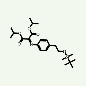 CC(C)OC(=O)C(=Nc1ccc(CCO[Si](C)(C)C(C)(C)C)cc1)C(=O)OC(C)C